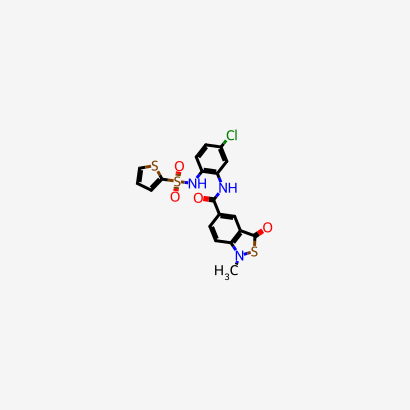 Cn1sc(=O)c2cc(C(=O)Nc3cc(Cl)ccc3NS(=O)(=O)c3cccs3)ccc21